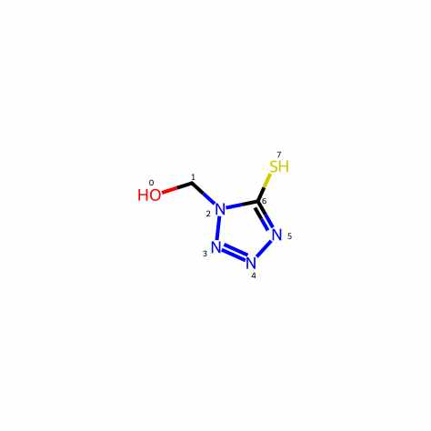 OCn1nnnc1S